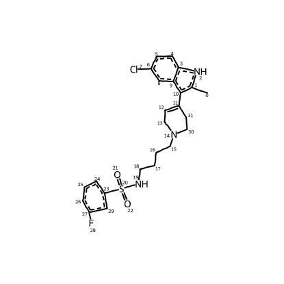 Cc1[nH]c2ccc(Cl)cc2c1C1=CCN(CCCCNS(=O)(=O)c2cccc(F)c2)CC1